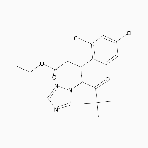 CCOC(=O)CC(c1ccc(Cl)cc1Cl)C(C(=O)C(C)(C)C)n1cncn1